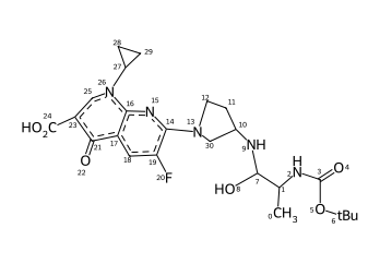 CC(NC(=O)OC(C)(C)C)C(O)NC1CCN(c2nc3c(cc2F)c(=O)c(C(=O)O)cn3C2CC2)C1